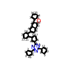 c1ccc(-c2nc(-c3ccccc3)nc(-c3cccc(-c4ccccc4-c4ccc5cc6oc7ccccc7c6cc5c4)c3)n2)cc1